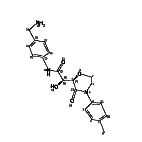 Cc1ccc(N2CCO[C@H]([C@@H](O)C(=O)Nc3ccc(CN)cc3)C2=O)cc1